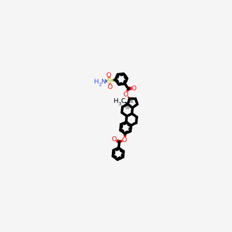 C[C@]12CCC3c4ccc(OC(=O)c5ccccc5)cc4CCC3C1CC[C@@H]2OC(=O)c1cccc(S(N)(=O)=O)c1